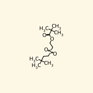 CC(C)(C)CCS(=O)(=O)CCOC(=O)C(C)(C)C